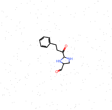 O=CC1CNC(C(=O)CCc2ccccc2)N1